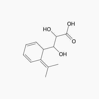 CC(C)=C1C=CC=CC1C(O)C(O)C(=O)O